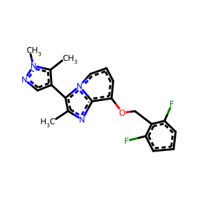 Cc1nc2c(OCc3c(F)cccc3F)cccn2c1-c1cnn(C)c1C